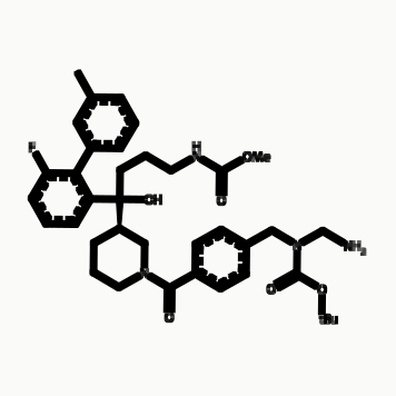 COC(=O)NCCCC(O)(c1cccc(F)c1-c1cccc(C)c1)[C@@H]1CCCN(C(=O)c2ccc(CN(CN)C(=O)OC(C)(C)C)cc2)C1